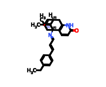 C/C=C1\[C@H]2C=C(C)C[C@]1(N=CC=Cc1ccc(CC)cc1)c1ccc(=O)[nH]c1C2